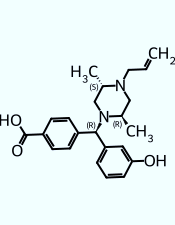 C=CCN1C[C@@H](C)N([C@H](c2ccc(C(=O)O)cc2)c2cccc(O)c2)C[C@@H]1C